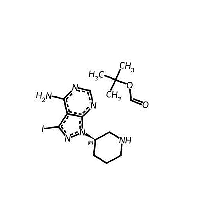 CC(C)(C)OC=O.Nc1ncnc2c1c(I)nn2[C@@H]1CCCNC1